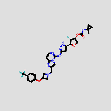 CC1(NC(=O)O[C@H]2CO[C@@H](c3cc(Nc4nccc5nc(CN6CC(Oc7ccc(C(F)(F)F)cc7)C6)cn45)n[nH]3)[C@@H]2F)CC1